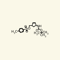 Cc1ccc(S(=O)(=O)OCC2C=CC(NC(=O)OC(C)(C)C)C2)cc1